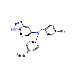 CSc1ccc(CN(Cc2ccc(C(C)C)cc2)c2ccc3[nH]cnc3c2)cc1